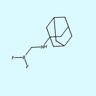 FB(F)CNC12CC3CC(CC(C3)C1)C2